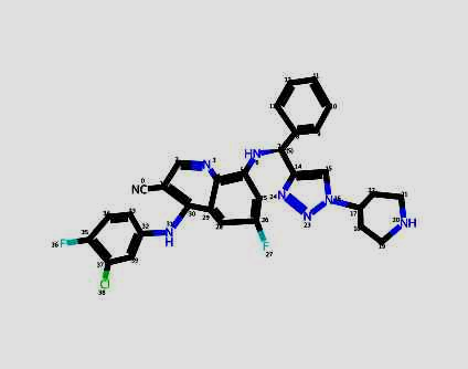 N#Cc1cnc2c(N[C@@H](c3ccccc3)c3cn(C4CCNCC4)nn3)cc(F)cc2c1Nc1ccc(F)c(Cl)c1